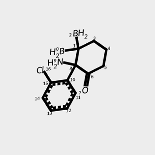 BC1(B)CCCC(=O)C1(N)c1ccccc1Cl